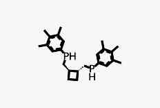 Cc1cc(PC[C@@H]2CC[C@H]2CPc2cc(C)c(C)c(C)c2)cc(C)c1C